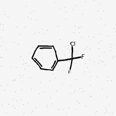 FC(F)(Cl)c1ccccc1